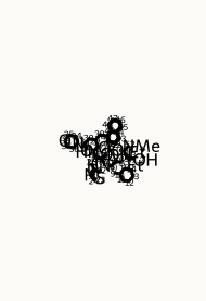 CCC(O)(CC)[C@H](C[C@H](O)[C@H](CC1CCCCC1)NC(=O)[C@H](Cc1cscn1)NC(=O)C(CC(=O)N1CCOCC1)Cc1cccc2ccccc12)C(=O)NC